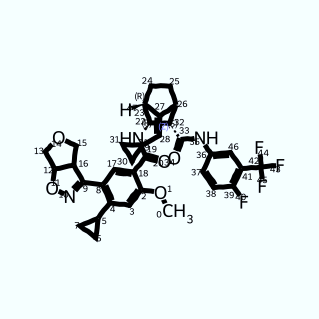 COc1cc(C2CC2)c(C2=NOC3COCC23)cc1C(=O)N[C@@H]1[C@@H]2CCC(/C2=C/C2CC2)[C@@H]1C(=O)Nc1ccc(F)c(C(F)(F)F)c1